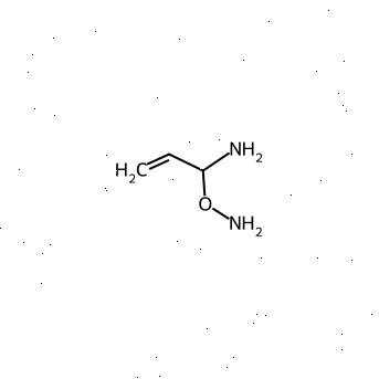 C=CC(N)ON